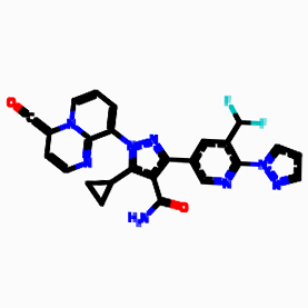 NC(=O)c1c(-c2cnc(-n3cccn3)c(C(F)F)c2)nn(C2=CC=CN3C(=C=O)C=CN=C23)c1C1CC1